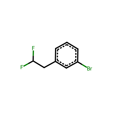 FC(F)Cc1cccc(Br)c1